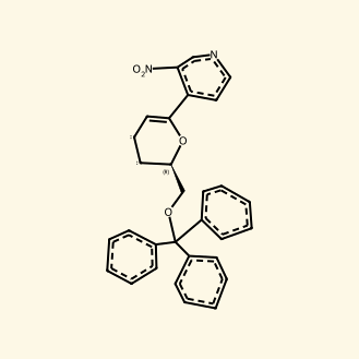 O=[N+]([O-])c1cnccc1C1=C[C][C][C@H](COC(c2ccccc2)(c2ccccc2)c2ccccc2)O1